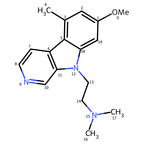 COc1cc(C)c2c3ccncc3n(CCN(C)C)c2c1